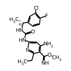 CCc1nc(NC(=O)N[C@H](C)c2ccc(F)c(Cl)c2)cc(N)c1C(=N)OC